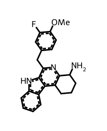 COc1ccc(Cc2nc3c(c4c2[nH]c2ccccc24)CCCC3N)cc1F